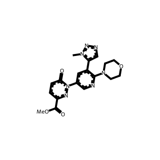 COC(=O)c1ccc(=O)n(-c2cnc(N3CCOCC3)c(-c3cnnn3C)c2)n1